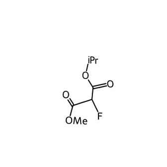 COC(=O)C(F)C(=O)OC(C)C